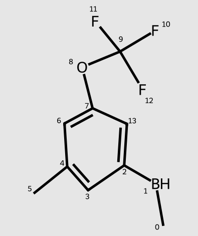 CBc1cc(C)cc(OC(F)(F)F)c1